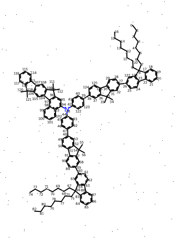 CCCCCCCCC1(CCCCCCCC)c2ccccc2-c2ccc(-c3ccc4c(c3)C(C)(C)c3cc(-c5ccc(N(c6ccc(-c7ccc8c(c7)C(C)(C)c7cc(-c9ccc%10c(c9)C(CCCCCCCC)(CCCCCCCC)c9ccccc9-%10)ccc7-8)cc6)c6cc7c(c8ccccc68)-c6cc8c(cc6C7(C)C)-c6ccccc6C8(C)C)cc5)ccc3-4)cc21